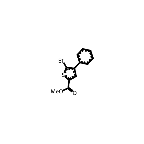 CCc1sc(C(=O)OC)cc1-c1ccccc1